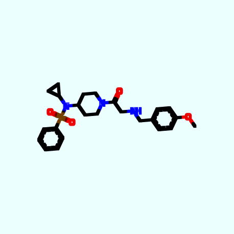 COc1ccc(CNCC(=O)N2CCC(N(C3CC3)S(=O)(=O)c3ccccc3)CC2)cc1